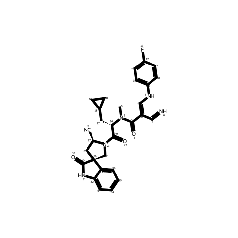 CN(C(=O)/C(C=N)=C/Nc1ccc(F)cc1)[C@@H](CC1CC1)C(=O)N1C[C@]2(C[C@H]1C#N)C(=O)Nc1ccccc12